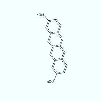 CCCCCCCCc1ccc2cc3cc4ccc(CCCCCCCC)cc4cc3cc2c1